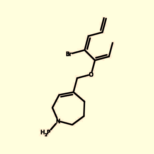 C=C/C=C(Br)\C(=C/C)OCC1=CCN(P)CCC1